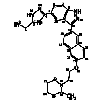 CC(C)Cc1nc(-c2ccc3[nH]nc(-c4ccc5cc(OCCN6CCCCC6C)ccc5c4)c3c2)n[nH]1